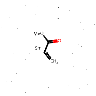 C=CC(=O)OC.[Sm]